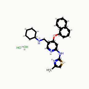 Cc1csc(Nc2cc(Oc3cccc4ccccc34)c(CNC3CCCCC3)cn2)n1.Cl.Cl